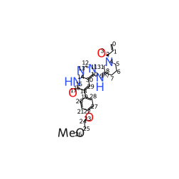 C=CC(=O)N1CCC[C@@H](Nc2ncnc3[nH]c(=O)c(-c4ccc(OCCOC)cc4)cc23)C1